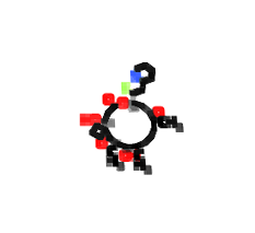 C[C@@H]1C(=O)C2(CCC2)[C@@H](O)CC(=O)O[C@H](C(F)=Cc2ccccn2)CC2OC2(C)CCC[C@H](C)[C@@H]1O